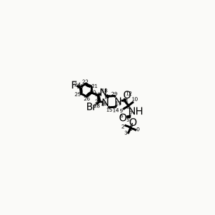 CC(C)(C)OC(=O)NC(C)(C)C(=O)N1CCn2c(nc(-c3ccc(F)cc3)c2Br)C1